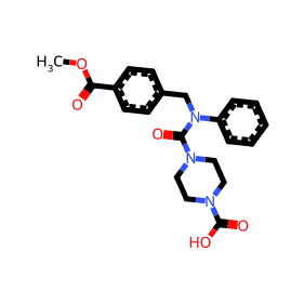 COC(=O)c1ccc(CN(C(=O)N2CCN(C(=O)O)CC2)c2ccccc2)cc1